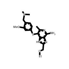 CCOCc1nc2c(N)nc(C)c(Sc3ccc(CN(C)C)c(OC)c3)c2[nH]1